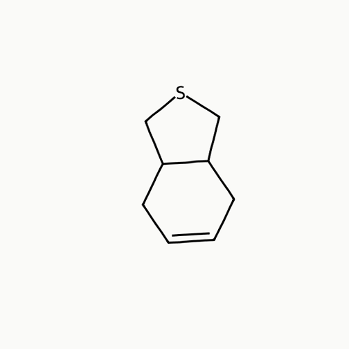 C1=CCC2CSCC2C1